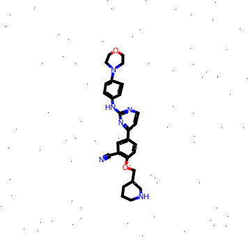 N#Cc1cc(-c2ccnc(Nc3ccc(N4CCOCC4)cc3)n2)ccc1OCC1CCCNC1